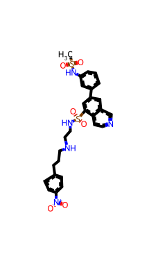 CS(=O)(=O)Nc1cccc(-c2cc(S(=O)(=O)NCCNCCCc3ccc([N+](=O)[O-])cc3)c3ccncc3c2)c1